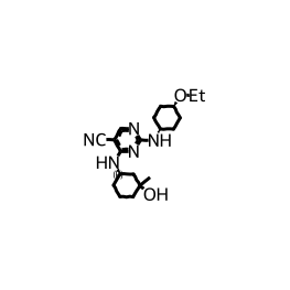 CCO[C@H]1CC[C@H](Nc2ncc(C#N)c(N[C@@H]3CCCC(C)(O)C3)n2)CC1